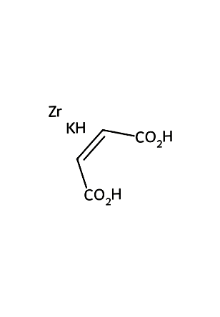 O=C(O)/C=C\C(=O)O.[KH].[Zr]